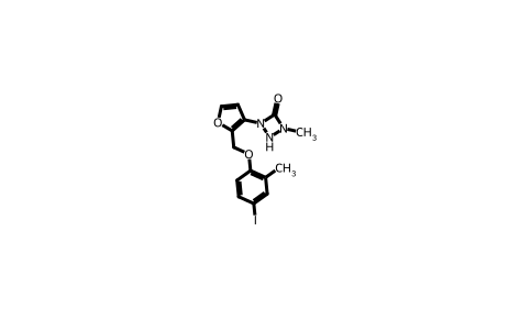 Cc1cc(I)ccc1OCc1occc1-n1[nH]n(C)c1=O